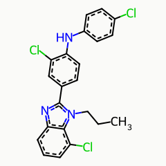 CCCn1c(-c2ccc(Nc3ccc(Cl)cc3)c(Cl)c2)nc2cccc(Cl)c21